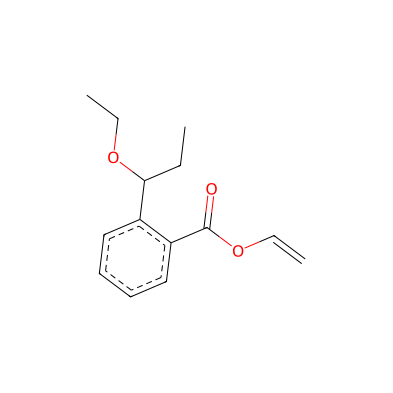 C=COC(=O)c1ccccc1C(CC)OCC